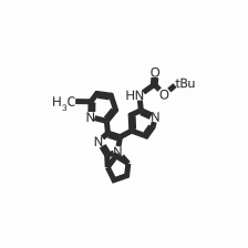 Cc1cccc(-c2nc3n(c2-c2ccnc(NC(=O)OC(C)(C)C)c2)C2CCC3C2)n1